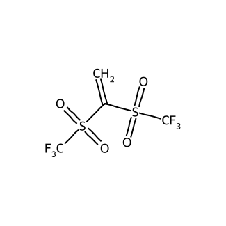 C=C(S(=O)(=O)C(F)(F)F)S(=O)(=O)C(F)(F)F